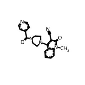 Cn1c(=O)c(C#N)c(N2CCN(C(=O)c3ccncc3)CC2)c2ccccc21